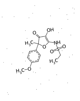 CCS(=O)(=O)NC1=C(O)C(=O)C(C)(c2ccc(OC)cc2)O1